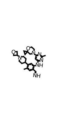 Cc1nc(Nc2cc(C3CCN(C4COC4)CC3)c(C)cc2C=N)cc(N2CCOC3(CC3)C2)n1